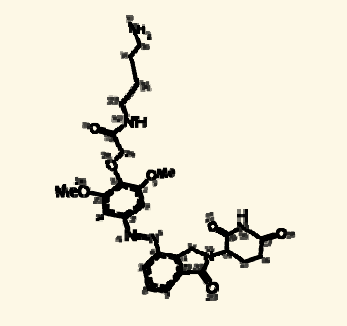 COc1cc(/N=N/c2cccc3c2CN(C2CCC(=O)NC2=O)C3=O)cc(OC)c1OCC(=O)NCCCCN